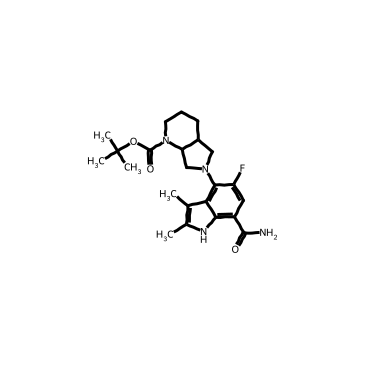 Cc1[nH]c2c(C(N)=O)cc(F)c(N3CC4CCCN(C(=O)OC(C)(C)C)C4C3)c2c1C